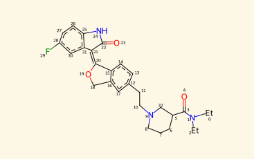 CCN(CC)C(=O)C1CCCN(CCc2ccc3c(c2)CO/C3=C2/C(=O)Nc3ccc(F)cc32)C1